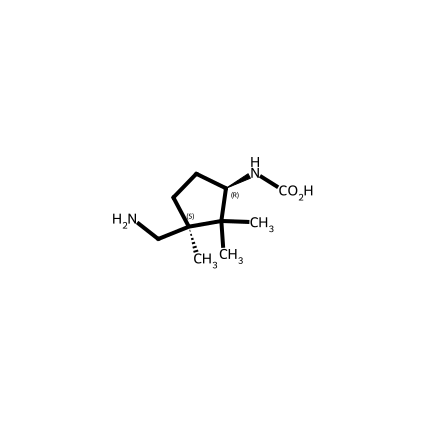 CC1(C)[C@H](NC(=O)O)CC[C@]1(C)CN